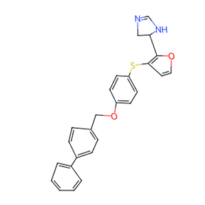 C1=NCC(c2occc2Sc2ccc(OCc3ccc(-c4ccccc4)cc3)cc2)N1